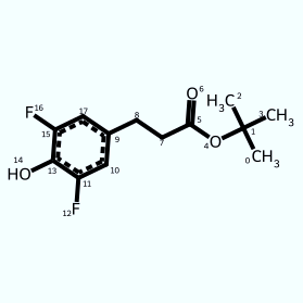 CC(C)(C)OC(=O)CCc1cc(F)c(O)c(F)c1